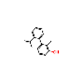 Cc1c(O)cccc1-c1ccccc1C(C)C